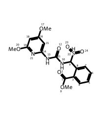 COC(=O)c1ccccc1C(NC(=O)Nc1cc(OC)cc(OC)n1)[SH](=O)=O